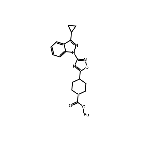 CC(C)(C)OC(=O)N1CCC(c2nc(-n3nc(C4CC4)c4ccccc43)no2)CC1